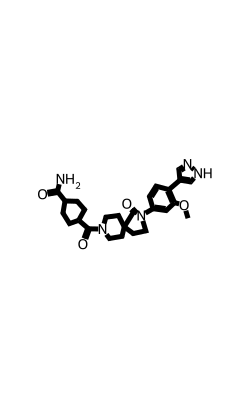 COc1cc(N2CCC3(CCN(C(=O)C4CCC(C(N)=O)CC4)CC3)C2=O)ccc1-c1cn[nH]c1